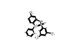 O=S(=O)(Nc1cc(C(F)(F)F)ccc1Oc1ccccn1)c1cc(C(F)(F)F)cc(C(F)(F)F)c1